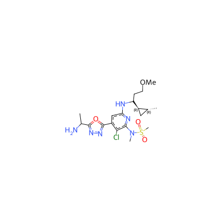 COCCC(Nc1cc(-c2nnc(C(C)N)o2)c(Cl)c(N(C)S(C)(=O)=O)n1)[C@@H]1C[C@H]1C